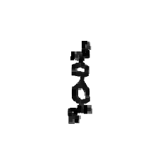 CCONc1ccc(-c2ccc(NOCC)cc2)cc1